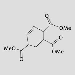 COC(=O)C1C=CC(C(=O)OC)C(C(=O)OC)C1